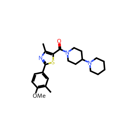 COc1ccc(-c2nc(C)c(C(=O)N3CCC(N4CCCCC4)CC3)s2)cc1C